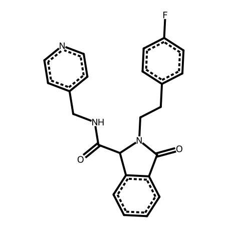 O=C(NCc1ccncc1)C1c2ccccc2C(=O)N1CCc1ccc(F)cc1